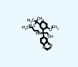 CCCCNC(CO)(c1ccc2nccnc2c1)c1cc(C(C)(C)C)ccc1OC